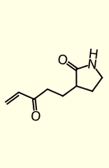 C=CC(=O)CCC1CCNC1=O